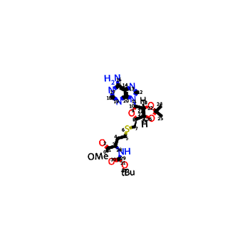 COC(=O)C(CCSC[C@H]1O[C@@H](n2cnc3c(N)ncnc32)[C@@H]2OC(C)(C)O[C@@H]21)NC(=O)OC(C)(C)C